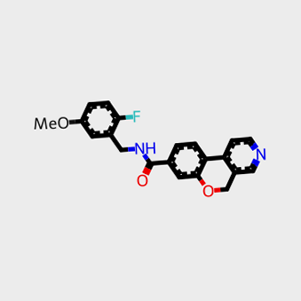 COc1ccc(F)c(CNC(=O)c2ccc3c(c2)OCc2cnccc2-3)c1